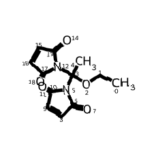 CCOC(C)(N1C(=O)C=CC1=O)N1C(=O)C=CC1=O